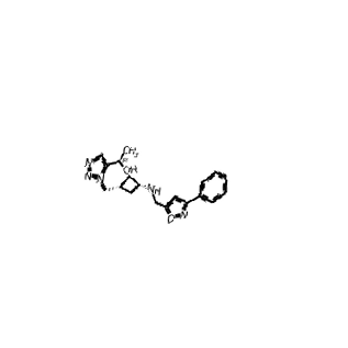 C[C@@H](O)c1cnnn1C[C@H]1C[C@@H](NCc2cc(-c3ccccc3)no2)C1